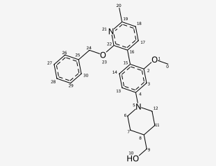 COc1cc(N2CCC(CO)CC2)ccc1-c1ccc(C)nc1OCc1ccccc1